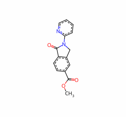 COC(=O)c1ccc2c(c1)CN(c1ccccn1)C2=O